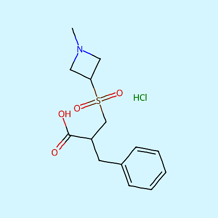 CN1CC(S(=O)(=O)CC(Cc2ccccc2)C(=O)O)C1.Cl